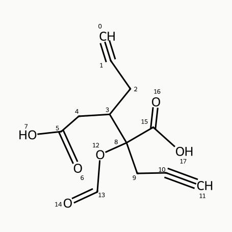 C#CCC(CC(=O)O)C(CC#C)(OC=O)C(=O)O